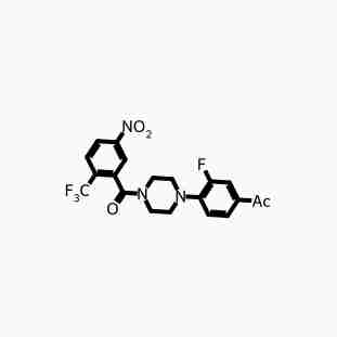 CC(=O)c1ccc(N2CCN(C(=O)c3cc([N+](=O)[O-])ccc3C(F)(F)F)CC2)c(F)c1